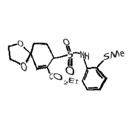 CCOC(=O)C1=CC2(CCC1S(=O)(=O)Nc1ccccc1SC)OCCO2